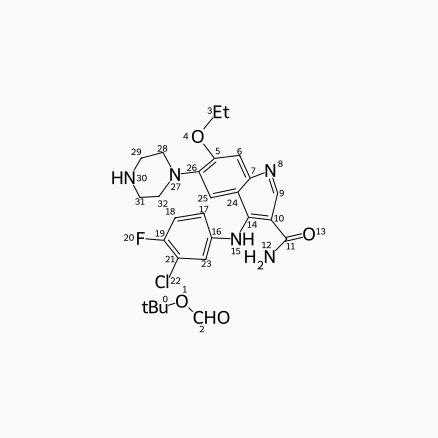 CC(C)(C)OC=O.CCOc1cc2ncc(C(N)=O)c(Nc3ccc(F)c(Cl)c3)c2cc1N1CCNCC1